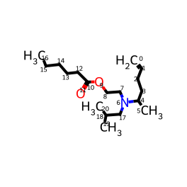 C=CCCC(C)N(CCOC(=O)CCCCC)CC(C)C